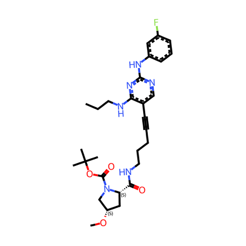 CCCNc1nc(Nc2cccc(F)c2)ncc1C#CCCCNC(=O)[C@@H]1C[C@H](OC)CN1C(=O)OC(C)(C)C